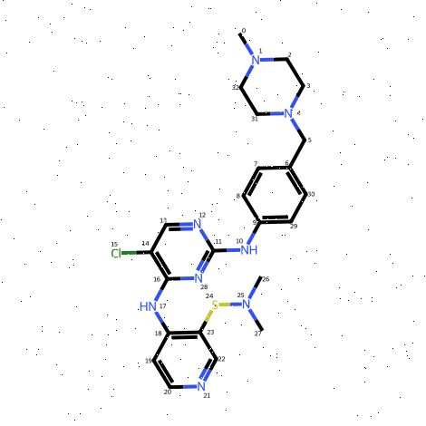 CN1CCN(Cc2ccc(Nc3ncc(Cl)c(Nc4ccncc4SN(C)C)n3)cc2)CC1